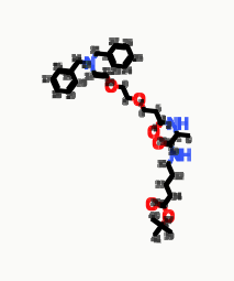 CC(NC(=O)CCOCCOC=CN(Cc1ccccc1)Cc1ccccc1)C(=O)NCCCCC(=O)OC(C)(C)C